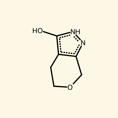 Oc1[nH]nc2c1CCOC2